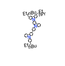 CCCCC(CC)Cc1ccc(N2c3ccc(-c4ccc(-n5c6ccccc6c6cc(-n7c8ccc(CC(CC)CCC)cc8c8cc(CC(CC)CCCC)ccc87)ccc65)cc4)cc3C3C=CC=CC32)cc1